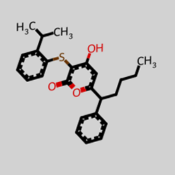 CCCCC(c1ccccc1)c1cc(O)c(Sc2ccccc2C(C)C)c(=O)o1